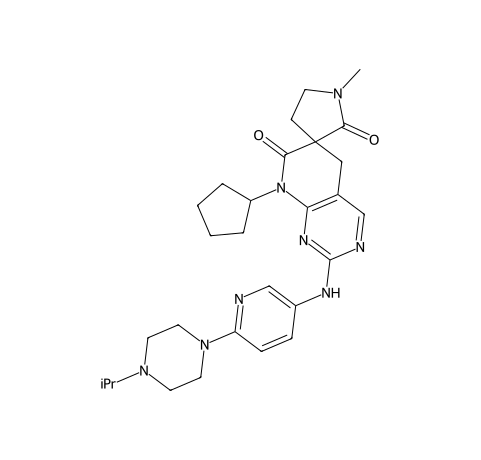 CC(C)N1CCN(c2ccc(Nc3ncc4c(n3)N(C3CCCC3)C(=O)C3(CCN(C)C3=O)C4)cn2)CC1